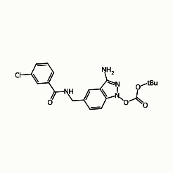 CC(C)(C)OC(=O)On1nc(N)c2cc(CNC(=O)c3cccc(Cl)c3)ccc21